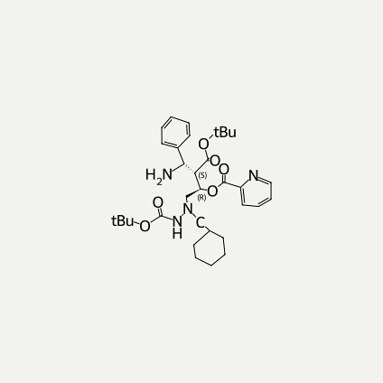 CC(C)(C)OC(=O)NN(CC1CCCCC1)C[C@H](OC(=O)c1ccccn1)[C@@H](C(=O)OC(C)(C)C)C(N)c1ccccc1